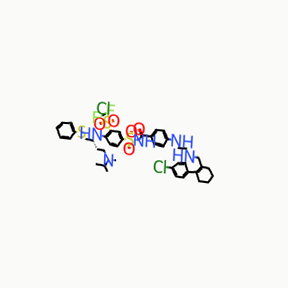 CC(C)N(C)CC[C@H](CSc1ccccc1)Nc1ccc(S(=O)(=O)NC(=O)c2ccc(NCCNCC3=C(c4ccc(Cl)cc4)CCCC3)cc2)cc1S(=O)(=O)C(F)(F)Cl